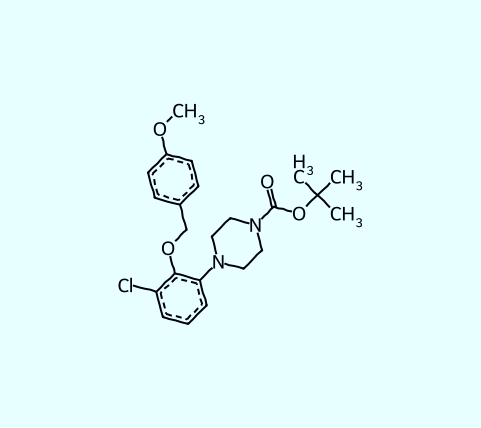 COc1ccc(COc2c(Cl)cccc2N2CCN(C(=O)OC(C)(C)C)CC2)cc1